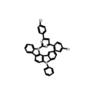 CCc1ccc(-c2cc(-c3ccc(CC)cc3)nc(-n3c4ccccc4c4ccc5c(c6ccccc6n5-c5ccccc5)c43)n2)cc1